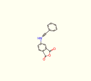 O=C1OC(=O)c2cc(NC#Cc3ccccc3)ccc21